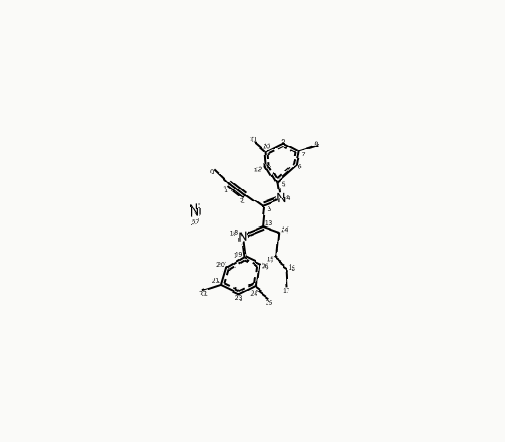 CC#CC(=N\c1cc(C)cc(C)c1)/C(CCCC)=N/c1cc(C)cc(C)c1.[Ni]